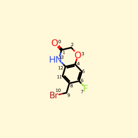 O=C1COc2cc(F)c(CBr)cc2N1